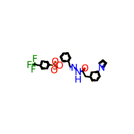 O=C(Cc1cccc(-n2cccc2)c1)N/N=C/c1ccccc1OS(=O)(=O)c1ccc(C(F)(F)F)cc1